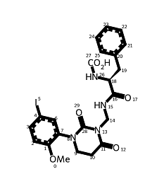 COc1ccc(I)cc1N1CCC(=O)N(CNC(=O)[C@H](Cc2ccccc2)NC(=O)O)C1=O